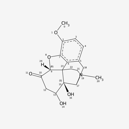 COc1ccc2c3c1O[C@H]1C(=O)CC(O)[C@@]4(O)C(C2)N(C)CCC314